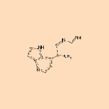 CN(/C=N\C=N)c1ncnc2cc[nH]c12